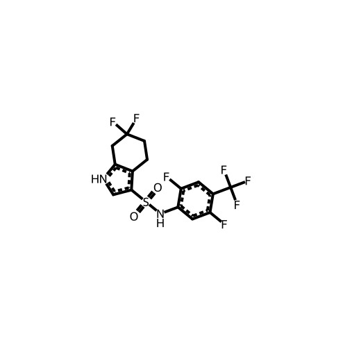 O=S(=O)(Nc1cc(F)c(C(F)(F)F)cc1F)c1c[nH]c2c1CCC(F)(F)C2